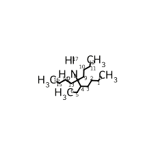 CCCCC(CC)C(N)(CCCC)CCCC.I